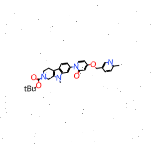 Cc1ccc(COc2ccn(-c3ccc4c5c(n(C)c4c3)CN(C(=O)OC(C)(C)C)CC5)c(=O)c2)cn1